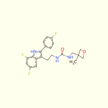 CC1(CNC(=O)NCCc2c(-c3ccc(F)cc3)[nH]c3c(F)cc(F)cc23)COC1